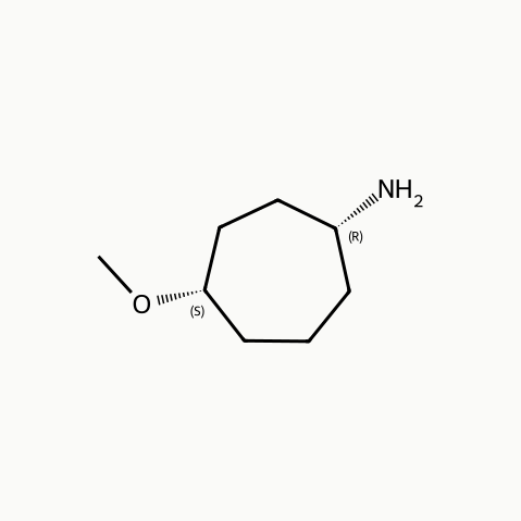 CO[C@H]1CCC[C@@H](N)CC1